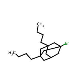 CCCCC12CC3CC(Br)(C1)CC(CCCC)(C3)C2